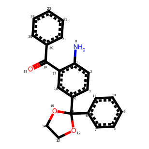 Nc1ccc(C2(c3ccccc3)OCCO2)cc1C(=O)c1ccccc1